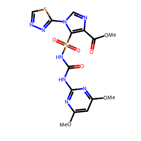 COC(=O)c1ncn(-c2nncs2)c1S(=O)(=O)NC(=O)Nc1nc(OC)cc(OC)n1